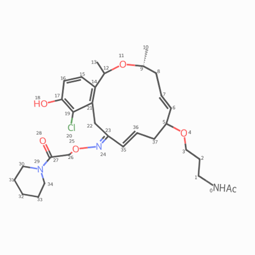 CC(=O)NCCCOC1/C=C/C[C@@H](C)OC(C)c2ccc(O)c(Cl)c2CC(=N\OCC(=O)N2CCCCC2)/C=C/C1